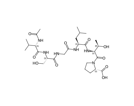 CC(=O)N[C@H](C(=O)N[C@@H](CO)C(=O)NCC(=O)N[C@@H](CC(C)C)C(=O)N[C@H](C(=O)N1CCC[C@H]1C(=O)O)[C@@H](C)O)C(C)C